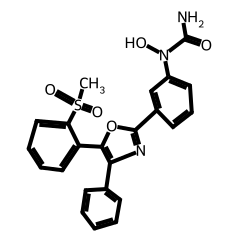 CS(=O)(=O)c1ccccc1-c1oc(-c2cccc(N(O)C(N)=O)c2)nc1-c1ccccc1